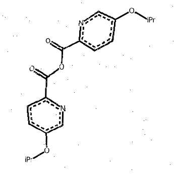 CC(C)Oc1ccc(C(=O)OC(=O)c2ccc(OC(C)C)cn2)nc1